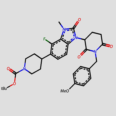 COc1ccc(CN2C(=O)CCC(n3c(=O)n(C)c4c(F)c(C5CCN(C(=O)OC(C)(C)C)CC5)ccc43)C2=O)cc1